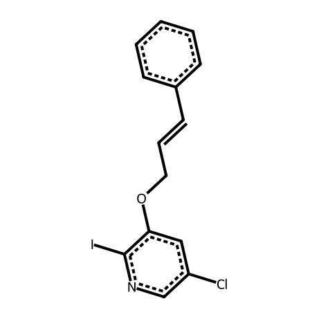 Clc1cnc(I)c(OC/C=C/c2ccccc2)c1